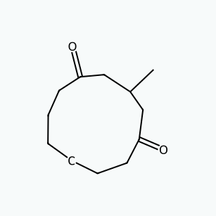 CC1CC(=O)CCCCCCC(=O)C1